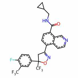 O=C(NCC1CC1)c1ccc(C2=NOC(c3ccc(F)c(C(F)(F)F)c3)(C(F)(F)F)C2)c2ccncc12